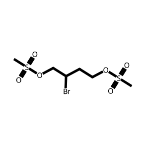 CS(=O)(=O)OCCC(Br)COS(C)(=O)=O